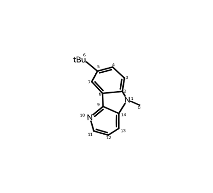 Cn1c2ccc(C(C)(C)C)cc2c2ncccc21